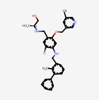 Cc1c(CNc2cc(OCc3cncc(C#N)c3)c(CN[C@H](CO)C(=O)O)cc2Cl)cccc1-c1ccccc1